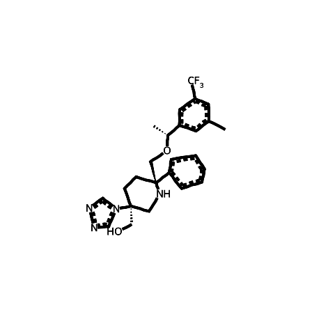 Cc1cc([C@@H](C)OC[C@]2(c3ccccc3)CC[C@](CO)(n3cnnc3)CN2)cc(C(F)(F)F)c1